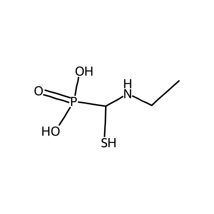 CCNC(S)P(=O)(O)O